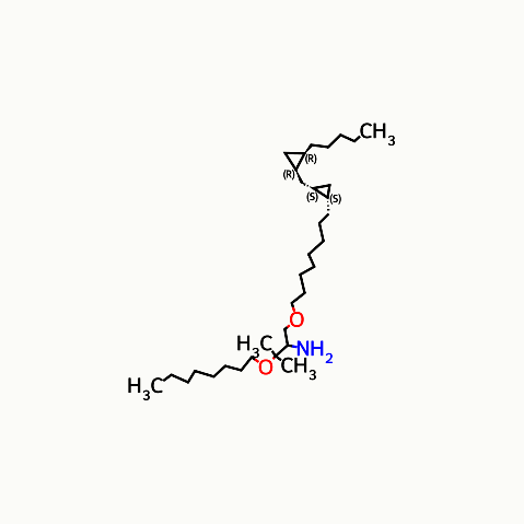 CCCCCCCCOC(C)(C)C(N)COCCCCCCCC[C@H]1C[C@H]1C[C@H]1C[C@H]1CCCCC